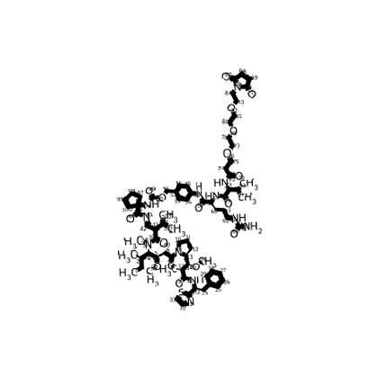 CC[C@H](C)[C@@H]([C@@H](CC(=O)N1CCC[C@H]1[C@H](OC)[C@@H](C)C(=O)N[C@@H](Cc1ccccc1)c1nccs1)OC)N(C)C(=O)C(/C=N/C(=O)C1(NC(=O)OCc2ccc(NC(=O)[C@H](CCCNC(N)=O)NC(=O)[C@@H](NC(=O)CCOCCOCCOCCN3C(=O)C=CC3=O)C(C)C)cc2)CCCC1)C(C)C